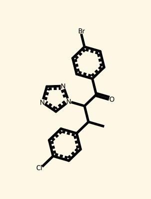 CC(c1ccc(Cl)cc1)C(C(=O)c1ccc(Br)cc1)n1cncn1